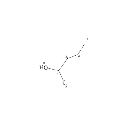 OC(Cl)[CH]CI